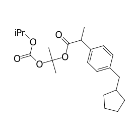 CC(C)OC(=O)OC(C)(C)OC(=O)C(C)c1ccc(CC2CCCC2)cc1